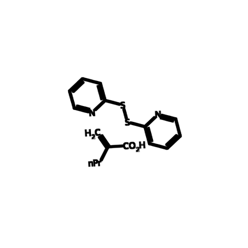 C=C(CCC)C(=O)O.c1ccc(SSc2ccccn2)nc1